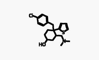 CN(C)CC1CC(O)CCC1(Cc1ccc(Cl)cc1)c1cccs1